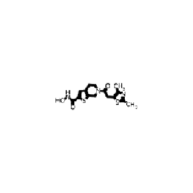 Cc1nc(C)c(CC(=O)N2CCc3cc(C(=O)NO)sc3C2)s1